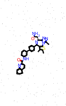 Cc1sc2c(c1C)C(c1ccc(-c3cccc(NC(=O)c4ccc5ccccc5n4)c3)cc1)=N[C@@H](CC(N)=O)c1nnc(C)n1-2